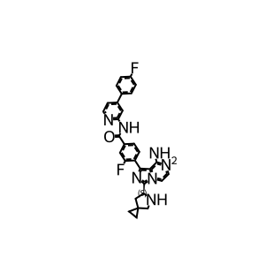 Nc1nccn2c([C@@H]3CC4(CC4)CN3)nc(-c3ccc(C(=O)Nc4cc(-c5ccc(F)cc5)ccn4)cc3F)c12